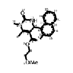 C=C(OCCOC)C1=C(C)N(C)C(=O)NC1c1c(C)ccc2ccccc12